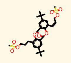 CC(C)(C)c1cc(/C=C\COS(C)(=O)=O)c2c(c1)C1Oc3c(CCCOS(C)(=O)=O)cc(C(C)(C)C)cc3C(O2)O1